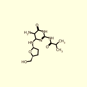 CC(C)C(=O)NC1=NC(N[C@H]2CC[C@@H](CO)O2)C(N)C(=O)N1